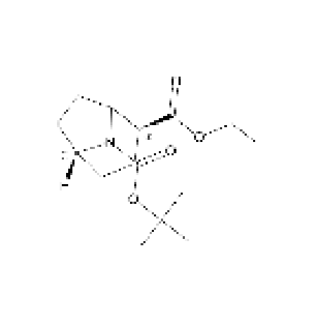 CCOC(=O)[C@H]1CC[C@@H]2CCC1N2C(=O)OC(C)(C)C